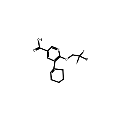 O=C(O)c1cnc(OCC(F)(F)F)c(C2=CCCCC2)c1